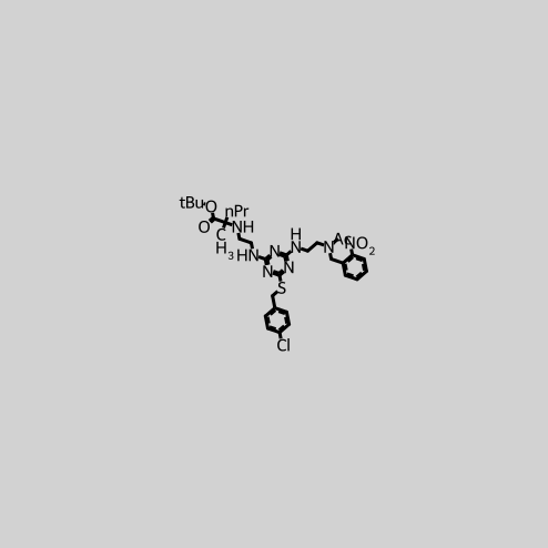 CCCC(C)(NCCNc1nc(NCCN(Cc2ccccc2[N+](=O)[O-])C(C)=O)nc(SCc2ccc(Cl)cc2)n1)C(=O)OC(C)(C)C